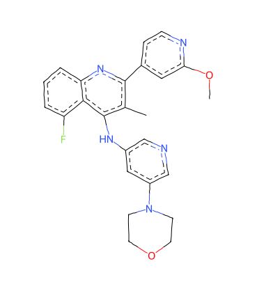 COc1cc(-c2nc3cccc(F)c3c(Nc3cncc(N4CCOCC4)c3)c2C)ccn1